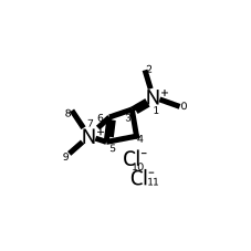 C[N+](C)=C1CC2=C1[N+]2(C)C.[Cl-].[Cl-]